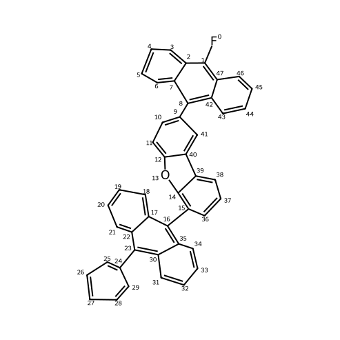 Fc1c2ccccc2c(-c2ccc3oc4c(-c5c6ccccc6c(-c6ccccc6)c6ccccc56)cccc4c3c2)c2ccccc12